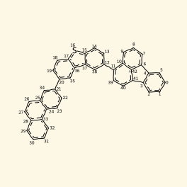 c1ccc2c(c1)-c1cccc3c(-c4ccc5sc6ccc(-c7ccc8c(ccc9ccccc98)c7)cc6c5c4)ccc-2c13